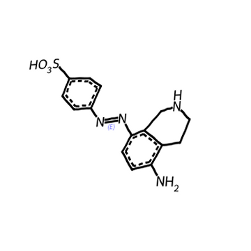 Nc1ccc(/N=N/c2ccc(S(=O)(=O)O)cc2)c2c1CCNC2